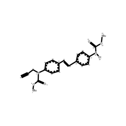 C#CCN(C(=O)OC(C)(C)C)c1ccc(/C=C/c2ccc(N(CC)C(=O)OC(C)(C)C)cc2)cc1